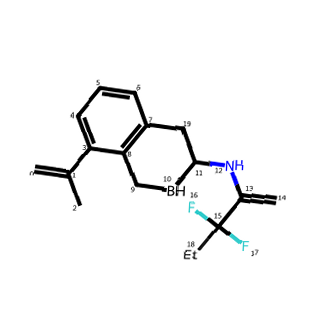 C=C(C)c1cccc2c1CBC(NC(=C)C(F)(F)CC)C2